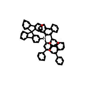 c1ccc(-c2cc(-c3ccccc3)cc(N(c3ccc4c(c3)C3(c5ccccc5-c5ccccc53)c3ccccc3-4)c3c(-c4ccc5cc(-c6ccccc6)ccc5c4)c4ccccc4c4ccccc34)c2)cc1